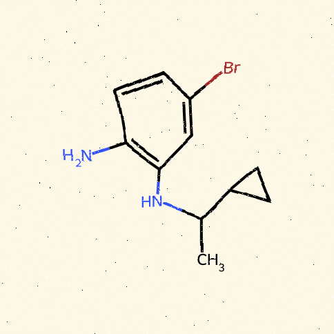 CC(Nc1cc(Br)ccc1N)C1CC1